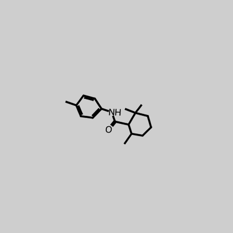 Cc1ccc(NC(=O)C2C(C)CCCC2(C)C)cc1